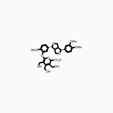 COc1ccc([C@H]2OCC3C2CO[C@H]3c2ccc(OC)c(OC3=C(CO)C(CO)=C(CO)C(C(=O)O)O3)c2)cc1OC